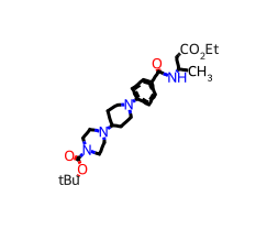 CCOC(=O)CC(C)NC(=O)c1ccc(N2CCC(N3CCN(C(=O)OC(C)(C)C)CC3)CC2)cc1